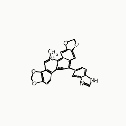 C[n+]1cc2c3c(ccc2c2cc(-c4ccc5[nH]cnc5c4)c4cc5c(cc4c21)OCO5)OCO3